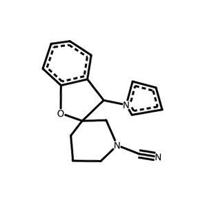 N#CN1CCCC2(C1)Oc1ccccc1C2n1cccc1